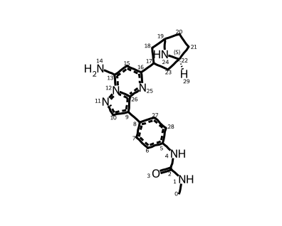 CNC(=O)Nc1ccc(-c2cnn3c(N)cc(C4CC5CC[C@@H](C4)N5)nc23)cc1